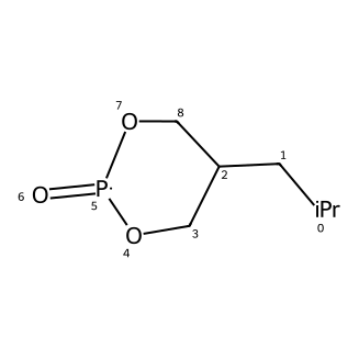 CC(C)CC1CO[P](=O)OC1